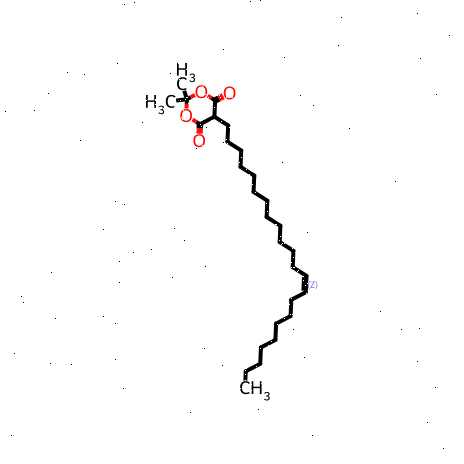 CCCCCCCC/C=C\CCCCCCCCCCCCC1C(=O)OC(C)(C)OC1=O